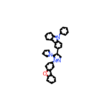 c1ccc(-n2c3ccccc3c3cc(-c4cnn(-c5ccc6oc7ccccc7c6c5)c4-n4cccc4)ccc32)cc1